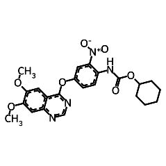 COc1cc2ncnc(Oc3ccc(NC(=O)OC4CCCCC4)c([N+](=O)[O-])c3)c2cc1OC